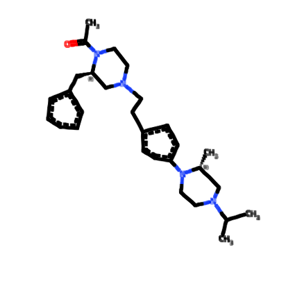 CC(=O)N1CCN(CCc2ccc(N3CCN(C(C)C)C[C@H]3C)cc2)C[C@H]1Cc1ccccc1